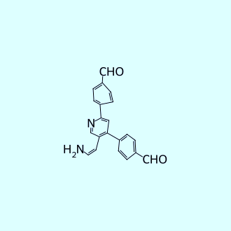 N/C=C\c1cnc(-c2ccc(C=O)cc2)cc1-c1ccc(C=O)cc1